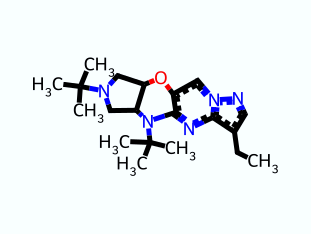 CCc1cnn2cc3c(nc12)N(C(C)(C)C)C1CN(C(C)(C)C)CC1O3